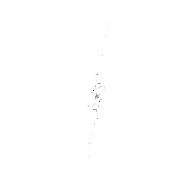 CCCCCCCCCCCCCCCCCCOC(=O)CCc1cc(C(C)(C)C)c(OP2N(C(C)(C)C)P(Oc3c(C(C)(C)C)cc(CCC(=O)OCCCCCCCCCCCCCCCCCC)cc3C(C)(C)C)N2C(C)(C)C)c(C(C)(C)C)c1